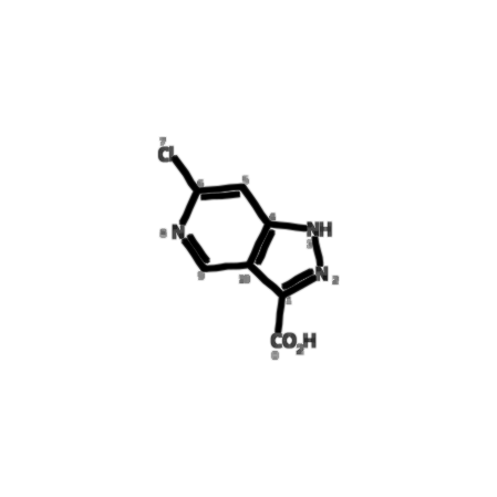 O=C(O)c1n[nH]c2cc(Cl)ncc12